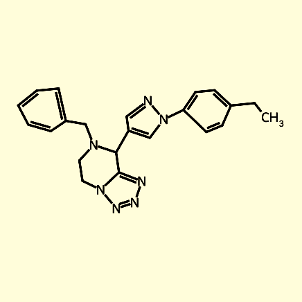 CCc1ccc(-n2cc(C3c4nnnn4CCN3Cc3ccccc3)cn2)cc1